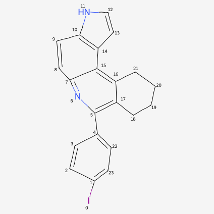 Ic1ccc(-c2nc3ccc4[nH]ccc4c3c3c2CCCC3)cc1